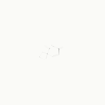 O=C1C=CC2(CCO2)C(=O)N1